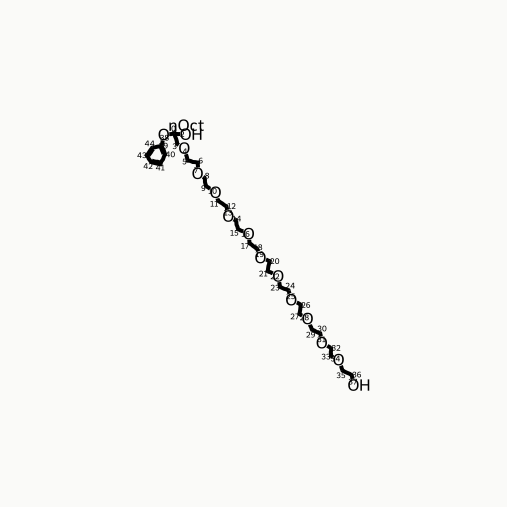 CCCCCCCCC(O)(COCCOCCOCCOCCOCCOCCOCCOCCOCCOCCOCCO)Oc1ccccc1